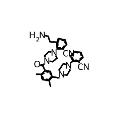 Cc1cc(C)c(C(=O)N2CCN(c3c(C#N)cccc3CCN)CC2)cc1CN1CCN(c2ccccc2C#N)CC1